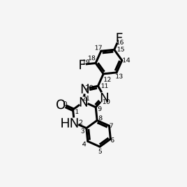 O=c1[nH]c2ccccc2c2nc(-c3ccc(F)cc3F)nn12